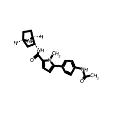 CC(=O)Nc1ccc(-c2ccc(C(=O)N[C@@H]3C[C@H]4CC[C@@H]3N4)n2C)cc1